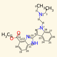 CCN(CC)CCn1cc(-c2nc3c(C(=O)OC)cccc3[nH]2)c2ccccc21